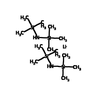 C[Si](C)(C)N[Si](C)(C)C.C[Si](C)(C)N[Si](C)(C)C.[Li]